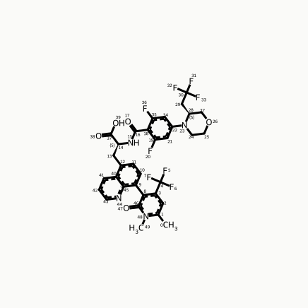 Cc1cc(C(F)(F)F)c(-c2ccc(C[C@H](NC(=O)c3c(F)cc(N4CCOC[C@@H]4CC(F)(F)F)cc3F)C(=O)O)c3cccnc23)c(=O)n1C